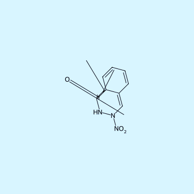 CC1C(=O)C=C2NN([N+](=O)[O-])C=C3C=CC=CC32C1C